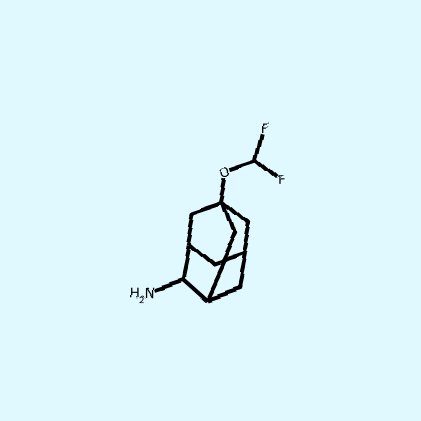 NC1C2CC3CC1CC(OC(F)F)(C3)C2